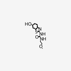 COCCNC(=O)Nc1nc2ccc(O)cc2s1